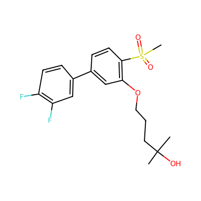 CC(C)(O)CCCOc1cc(-c2ccc(F)c(F)c2)ccc1S(C)(=O)=O